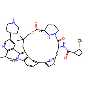 CCn1c(-c2cc(C3CCN(C)CC3)cnc2[C@H](C)OC)c2c3cc(ccc31)-c1csc(n1)C[C@H](NC(=O)[C@@H]1CC[C@H]1C#N)C(=O)N1CCC[C@H](N1)C(=O)OCC(C)(C)C2